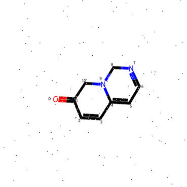 O=C1C=CC2=CC=NCN2C1